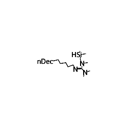 CCCCCCCCCCCCCCCN=C(N(C)C)N(C)C[SiH](C)C